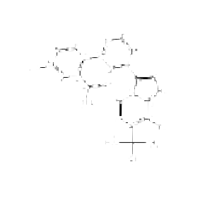 CC(C)(O)c1ccn2c(-c3ccnc(-c4ccc(F)cc4C(N)=O)c3)cnc2c1F